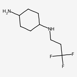 NC1CCC(NCCC(F)(F)F)CC1